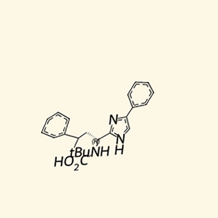 CC(C)(C)C(C[C@@H](NC(=O)O)c1nc(-c2ccccc2)c[nH]1)c1ccccc1